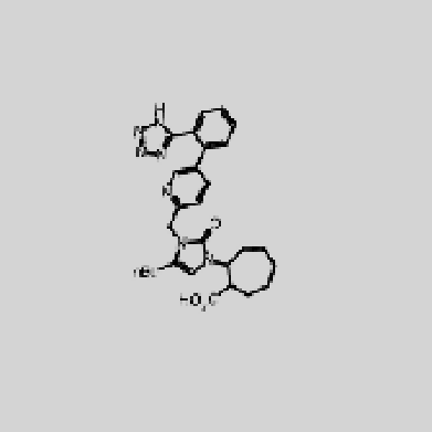 CCCCc1cn(C2CCCCCC2C(=O)O)c(=O)n1Cc1ccc(-c2ccccc2-c2nnn[nH]2)cn1